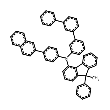 CC1(c2ccccc2)c2ccccc2-c2c(N(c3ccc(-c4ccc5ccccc5c4)cc3)c3cccc(-c4cccc(-c5ccccc5)c4)c3)cccc21